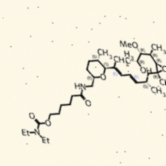 CCN(CC)C(=O)OCCCCCC(=O)NC[C@H]1CC[C@H](C)[C@@H](/C(C)=C/C=C/[C@@H](C)C[C@@]2(C)O[C@@H]2[C@H](C)[C@@H](OC)[C@@H](C)O)O1